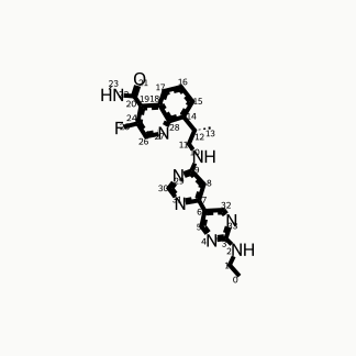 CCNc1ncc(-c2cc(NC[C@@H](C)c3cccc4c(C(=O)NC)c(F)cnc34)ncn2)cn1